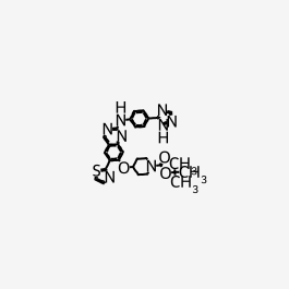 CC(C)(C)OC(=O)N1CCC(Oc2cc3nc(Nc4ccc(-c5ncn[nH]5)cc4)ncc3cc2-c2nccs2)CC1